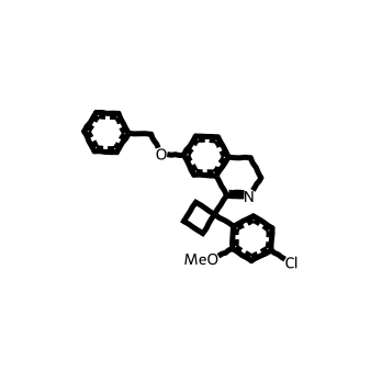 COc1cc(Cl)ccc1C1(C2=NCCc3ccc(OCc4ccccc4)cc32)CCC1